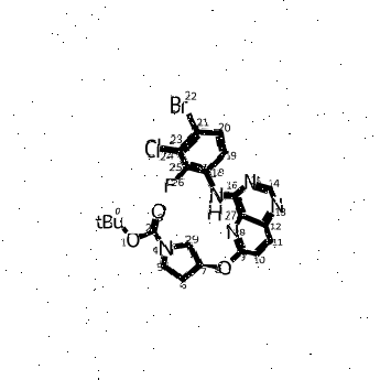 CC(C)(C)OC(=O)N1CC[C@H](Oc2ccc3ncnc(Nc4ccc(Br)c(Cl)c4F)c3n2)C1